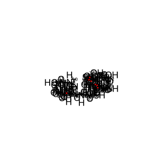 CC(C)C[C@H](NC(=O)CNC(=O)[C@H](CO)NC(=O)[C@H](CO)NC(=O)[C@H](CO)NC(=O)CNC(=O)CNC(=O)CNC(=O)CNC(=O)[C@H](CS)NC(=O)[C@@H](NC(=O)[C@H](CC(C)C)NC(=O)[C@H](CS)NC(=O)[C@H](CO)NC(=O)[C@H](CC(=O)O)NC(=O)[C@@H](NC(=O)[C@@H](NC(=O)[C@H](CS)NC(=O)[C@H](C)N)[C@@H](C)O)C(C)C)[C@@H](C)O)C(=O)NCC(=O)O